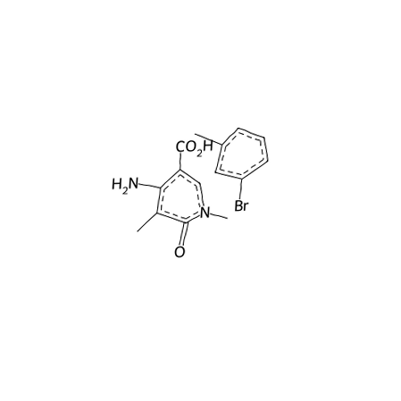 Cc1c(N)c(C(=O)O)cn(C)c1=O.Cc1cccc(Br)c1